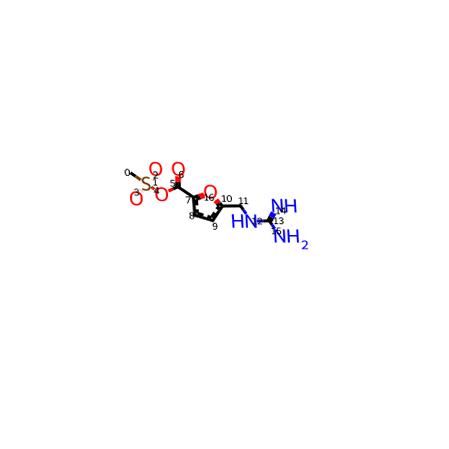 CS(=O)(=O)OC(=O)c1ccc(CNC(=N)N)o1